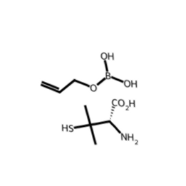 C=CCOB(O)O.CC(C)(S)[C@@H](N)C(=O)O